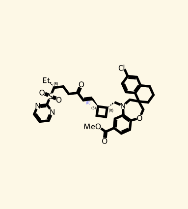 CC[C@H](CCC(=O)/C=C/[C@@H]1CC[C@H]1CN1CC2(CCCc3cc(Cl)ccc32)COc2ccc(C(=O)OC)cc21)S(=O)(=O)c1ncccn1